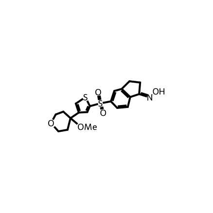 COC1(c2csc(S(=O)(=O)c3ccc4c(c3)CCC4=NO)c2)CCOCC1